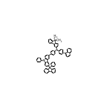 CC1(C)c2ccccc2-c2cc(N(c3ccc(-c4ccc5c(c4)c4cc(C6(c7ccccc7)c7ccccc7-c7ccccc76)ccc4n5-c4ccccc4)cc3)c3ccc(-c4cccc5ccccc45)cc3)ccc21